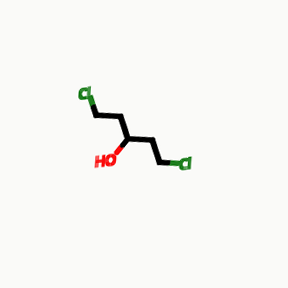 OC(CCCl)CCCl